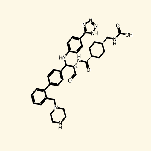 O=C[C@@H](NC(=O)[C@H]1CC[C@H](CNC(=O)O)CC1)C(Nc1ccc(-c2nnn[nH]2)cc1)c1ccc(-c2ccccc2CN2CCNCC2)cc1